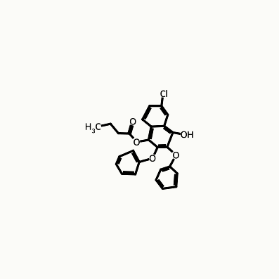 CCCC(=O)Oc1c(Oc2ccccc2)c(Oc2ccccc2)c(O)c2cc(Cl)ccc12